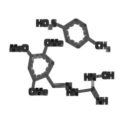 COc1cc(OC)c(OC)cc1/C=N/NC(=N)NO.Cc1ccc(S(=O)(=O)O)cc1